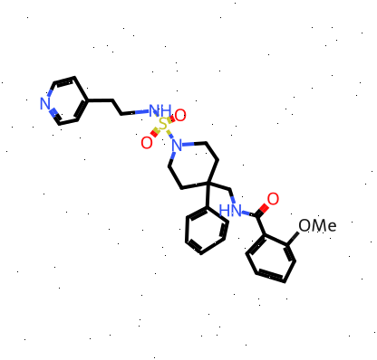 COc1ccccc1C(=O)NCC1(c2ccccc2)CCN(S(=O)(=O)NCCc2ccncc2)CC1